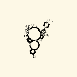 CO[C@@]1(CC(=O)N2CCN(C)CC2)/C=C/C[C@H](C)[C@@H](C)S(=O)(=O)NC(=O)c2ccc3c(c2)N(CCCCc2cc(Cl)ccc2CO3)C[C@@H]2CC[C@H]21